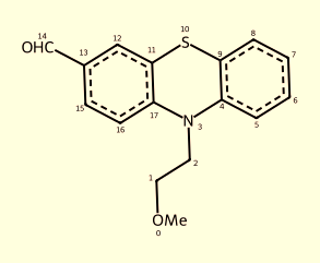 COCCN1c2ccccc2Sc2cc(C=O)ccc21